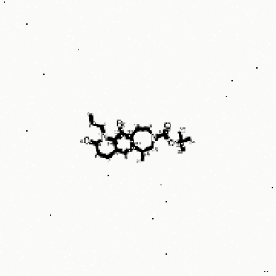 CCCN1C(=O)CCc2cc3c(c(Br)c21)CCN(C(=O)OC(C)(C)C)CC3C